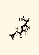 C=C(NC)c1cc(C(=O)NC2CC2)[nH]n1